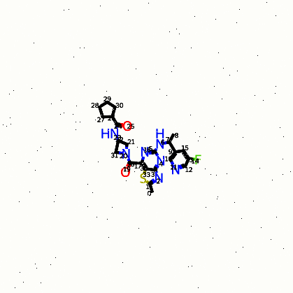 Cc1nc2nc(NC(C)c3cncc(F)c3)nc(C(=O)N3CC(NC(=O)C4CCCC4)C3)c2s1